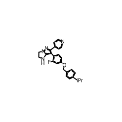 CC(C)c1ccc(COc2ccc(-c3c(-c4ccncc4)nn4c3NCC4)c(F)c2)cc1